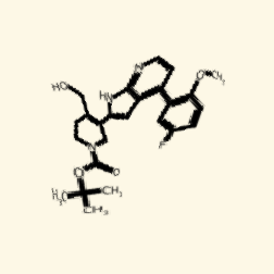 COc1ccc(F)cc1-c1ccnc2[nH]c(C3=C(CO)CCN(C(=O)OC(C)(C)C)C3)cc12